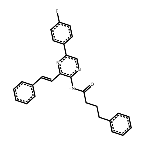 O=C(CCCc1ccccc1)Nc1ncc(-c2ccc(F)cc2)nc1/C=C/c1ccccc1